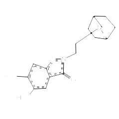 Cc1cc2sn(CCN3CC4CCC(CC4)C3)c(=O)c2cc1C